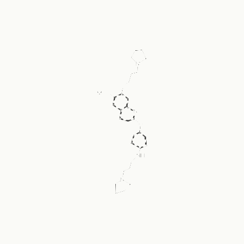 COc1cc2ccc(Oc3ccc(NCCCN4CCCC4)cc3)nc2cc1OCCCN1CCCC1